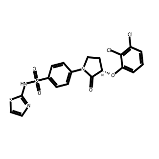 O=C1[C@@H](Oc2cccc(Cl)c2Cl)CCN1c1ccc(S(=O)(=O)Nc2nccs2)cc1